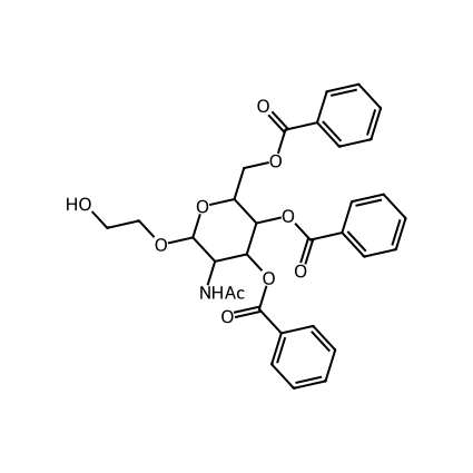 CC(=O)NC1C(OCCO)OC(COC(=O)c2ccccc2)C(OC(=O)c2ccccc2)C1OC(=O)c1ccccc1